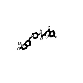 CCn1c(=O)ccc2ccc(CN3CCC(NC(=O)c4cc(=O)c5ccc(F)cc5o4)CC3)cc21